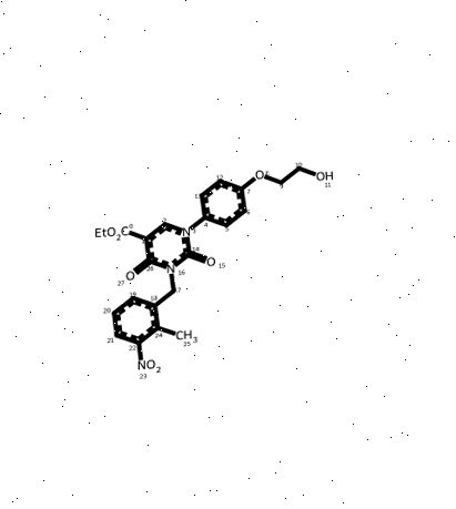 CCOC(=O)c1cn(-c2ccc(OCCO)cc2)c(=O)n(Cc2cccc([N+](=O)[O-])c2C)c1=O